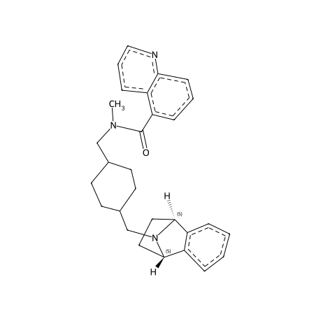 CN(CC1CCC(CN2[C@H]3CC[C@H]2c2ccccc23)CC1)C(=O)c1cccc2ncccc12